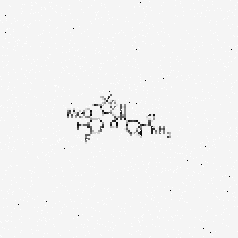 COc1c([C@@H]2C(C)C(C)(C)O[C@H]2C(=O)Nc2ccnc(C(N)=O)c2)ccc(F)c1F